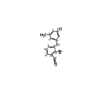 Cc1cc(Cl)cc(Oc2cccc(C#N)c2Br)c1